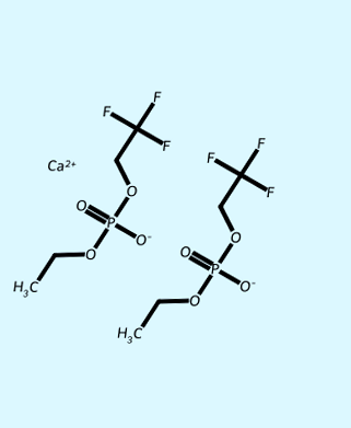 CCOP(=O)([O-])OCC(F)(F)F.CCOP(=O)([O-])OCC(F)(F)F.[Ca+2]